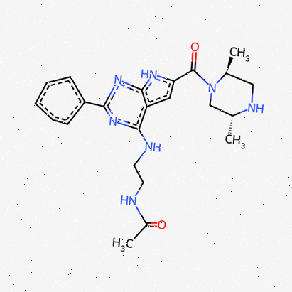 CC(=O)NCCNc1nc(-c2ccccc2)nc2[nH]c(C(=O)N3C[C@@H](C)NC[C@@H]3C)cc12